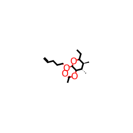 C=CCCCO[C@H]1OC(CC)[C@@H](C)[C@H](C)C1OC(C)=O